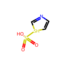 O=S(=O)(O)[SH]1C=CN=C1